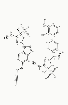 CC#CCOc1ccc2c(ccn2CC[C@](C)(C(=O)NO)S(C)(=O)=O)c1.COc1cccc(-c2ccc3c(cnn3CC[C@](C)(C(=O)NO)S(C)(=O)=O)c2)c1F